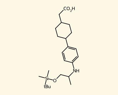 CC(CO[Si](C)(C)C(C)(C)C)Nc1ccc(C2CCC(CC(=O)O)CC2)cc1